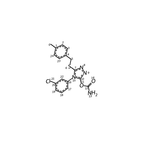 Cc1ccc(CSc2nnc(OC(N)=O)n2-c2cccc(Cl)c2)cc1